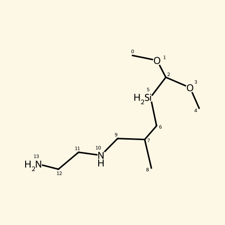 COC(OC)[SiH2]CC(C)CNCCN